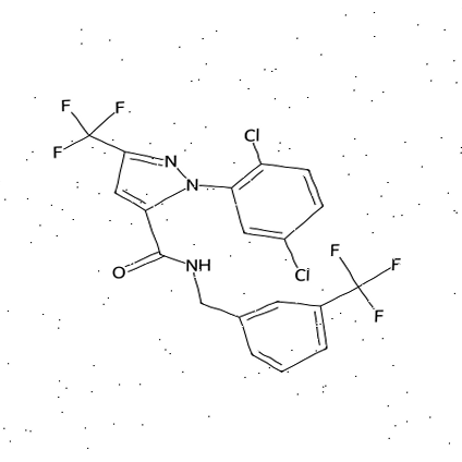 O=C(NCc1cccc(C(F)(F)F)c1)c1cc(C(F)(F)F)nn1-c1cc(Cl)ccc1Cl